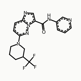 O=C(Nc1cccnc1)c1cnc2ccc(N3CCCC(C(F)(F)F)C3)nn12